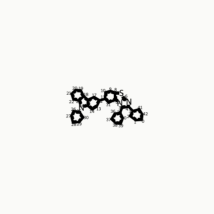 c1ccc(-c2nc3sc4ccc(-c5ccc6c(c5)c5ccccc5n6-c5ccccc5)cc4n3c2-c2ccccc2)cc1